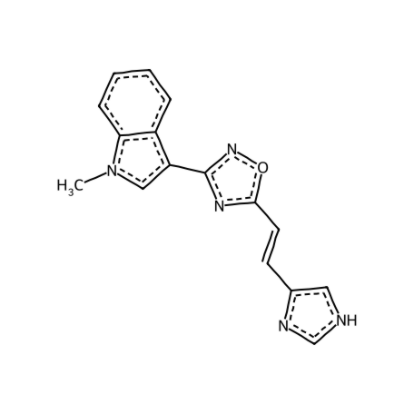 Cn1cc(-c2noc(C=Cc3c[nH]cn3)n2)c2ccccc21